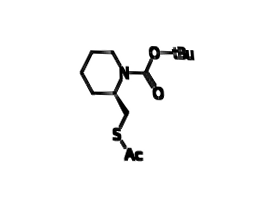 CC(=O)SC[C@H]1CCCCN1C(=O)OC(C)(C)C